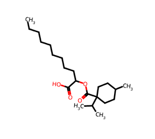 CCCCCCCCCC(OC(=O)C1(C(C)C)CCC(C)CC1)C(=O)O